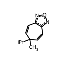 CC(C)C1(C)C=Cc2nonc2C=C1